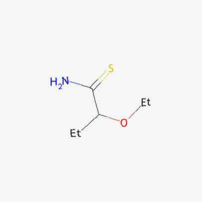 CCOC(CC)C(N)=S